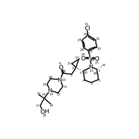 C[C@@H]1CCC[C@H](C2(CC(=O)N3CCN(C(C)(C)CO)CC3)CC2)N1S(=O)(=O)c1ccc(Cl)cc1